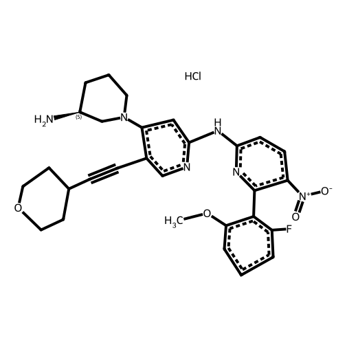 COc1cccc(F)c1-c1nc(Nc2cc(N3CCC[C@H](N)C3)c(C#CC3CCOCC3)cn2)ccc1[N+](=O)[O-].Cl